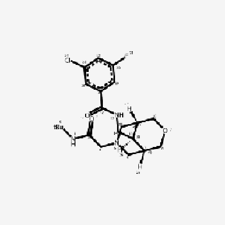 CC(C)(C)NC(=O)CN1C[C@H]2COC[C@@H](C1)[C@@H]2CNC(=O)c1cc(F)cc(Cl)c1